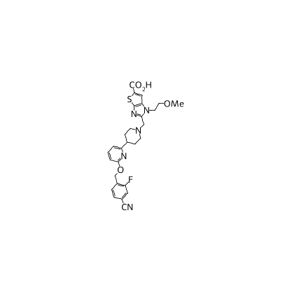 COCCn1c(CN2CCC(c3cccc(OCc4ccc(C#N)cc4F)n3)CC2)nc2sc(C(=O)O)cc21